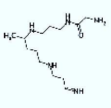 CC(CCCNCCC=N)NCCCNC(=O)CN